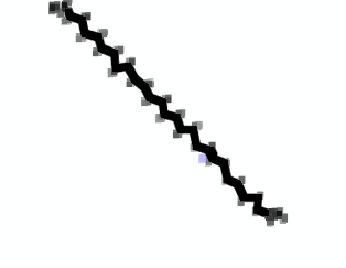 CCCCCCC/C=C/CCCCCCCCCCCCCCCCCC